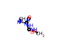 C=CCOC(=O)Nc1cccc(CNc2cc(N3CCOCC3)cc(CSN3CN=CN3C)n2)c1